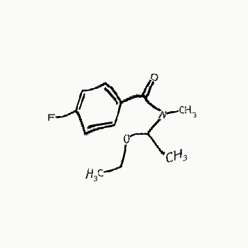 CCOC(C)N(C)C(=O)c1ccc(F)cc1